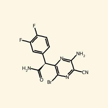 N#Cc1nc(Br)c([C@@H](C(N)=O)c2ccc(F)c(F)c2)nc1N